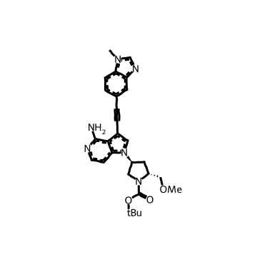 COC[C@H]1C[C@H](n2cc(C#Cc3ccc4c(c3)ncn4C)c3c(N)nccc32)CN1C(=O)OC(C)(C)C